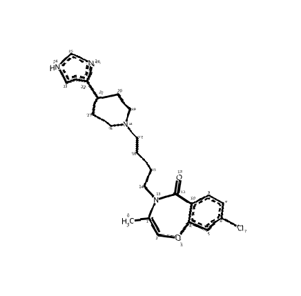 CC1=COc2cc(Cl)ccc2C(=O)N1CCCCN1CCC(c2c[nH]cn2)CC1